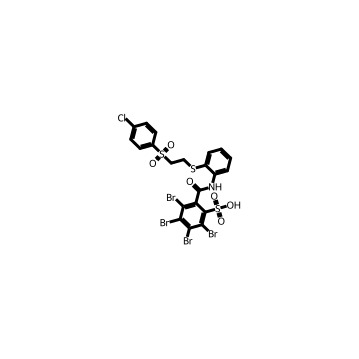 O=C(Nc1ccccc1SCCS(=O)(=O)c1ccc(Cl)cc1)c1c(Br)c(Br)c(Br)c(Br)c1S(=O)(=O)O